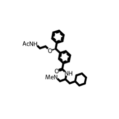 CNCC(CC1CCCCC1)NC(=O)c1cccc([C@@H](OCCNC(C)=O)c2ccccc2)c1